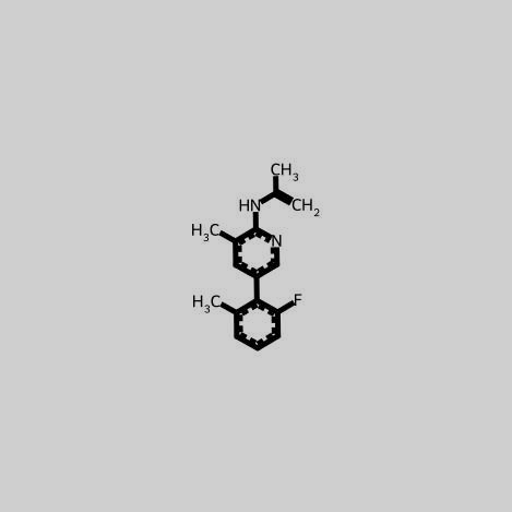 C=C(C)Nc1ncc(-c2c(C)cccc2F)cc1C